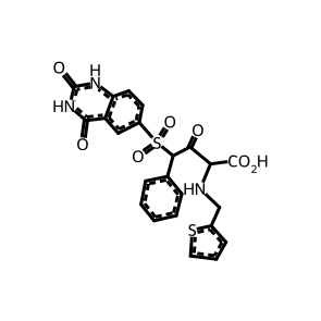 O=C(O)C(NCc1cccs1)C(=O)C(c1ccccc1)S(=O)(=O)c1ccc2[nH]c(=O)[nH]c(=O)c2c1